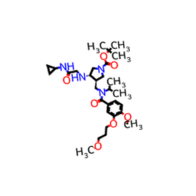 COCCCOc1cc(C(=O)N(C[C@@H]2CN(C(=O)OC(C)(C)C)C[C@H]2NCC(=O)NC2CC2)C(C)C)ccc1OC